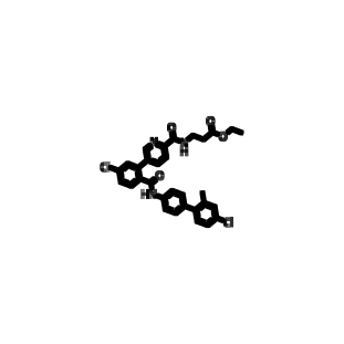 CCOC(=O)CCNC(=O)c1ccc(-c2cc(Cl)ccc2C(=O)Nc2ccc(-c3ccc(Cl)cc3C)cc2)cn1